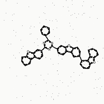 c1ccc(-c2nc(-c3ccc4c(c3)oc3ccccc34)nc(-c3ccc4c(c3)oc3ccc(-c5cccc6oc7ccccc7c56)cc34)n2)cc1